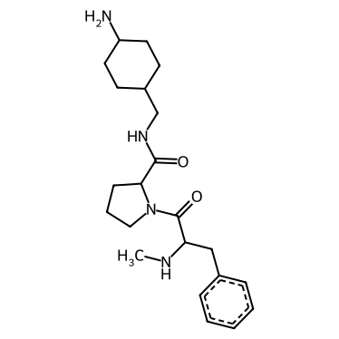 CNC(Cc1ccccc1)C(=O)N1CCCC1C(=O)NCC1CCC(N)CC1